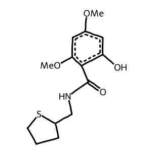 COc1cc(O)c(C(=O)NCC2CCCS2)c(OC)c1